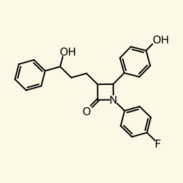 O=C1C(CCC(O)c2ccccc2)C(c2ccc(O)cc2)N1c1ccc(F)cc1